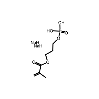 C=C(C)C(=O)OCCCOP(=O)(O)O.[NaH].[NaH]